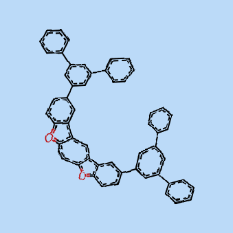 c1ccc(-c2cc(-c3ccccc3)cc(-c3ccc4oc5cc6oc7ccc(-c8cc(-c9ccccc9)cc(-c9ccccc9)c8)cc7c6cc5c4c3)c2)cc1